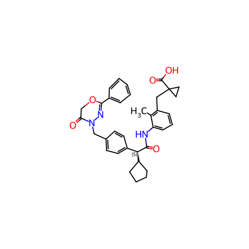 Cc1c(CC2(C(=O)O)CC2)cccc1NC(=O)[C@H](c1ccc(CN2N=C(c3ccccc3)OCC2=O)cc1)C1CCCC1